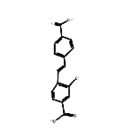 O=C(O)c1ccc(/C=C/c2ccc(C(=O)O)cc2Br)cc1